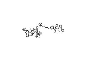 C#Cc1cccc2cc(O)cc(-c3ncc4c(N5C[C@H]6CC[C@@H](C5)N6)nc(OC[C@@H]5CCCN5CCCCCc5ccc6c(c5)C(=O)N(C5CCC(=O)NC5=O)C6=O)nc4c3F)c12